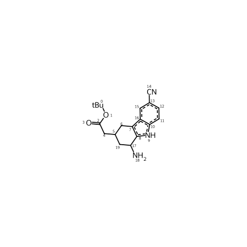 CC(C)(C)OC(=O)CC1Cc2c([nH]c3ccc(C#N)cc23)C(N)C1